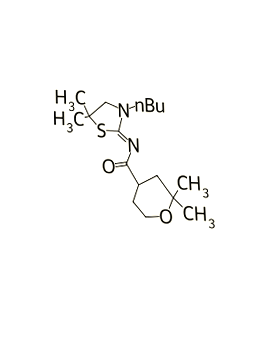 CCCCN1CC(C)(C)SC1=NC(=O)C1CCOC(C)(C)C1